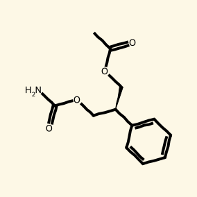 CC(=O)OC[C@H](COC(N)=O)c1ccccc1